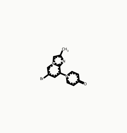 Cc1cn2cc(Br)cc(-n3ccc(=O)cc3)c2n1